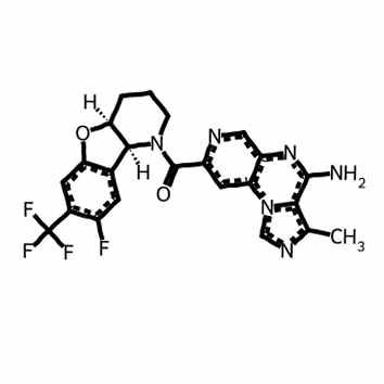 Cc1ncn2c1c(N)nc1cnc(C(=O)N3CCC[C@@H]4Oc5cc(C(F)(F)F)c(F)cc5[C@@H]43)cc12